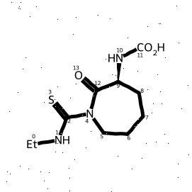 CCNC(=S)N1CCCC[C@H](NC(=O)O)C1=O